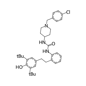 CC(C)(C)c1cc(CCc2ccccc2NC(=O)NC2CCN(Cc3ccc(Cl)cc3)CC2)cc(C(C)(C)C)c1O